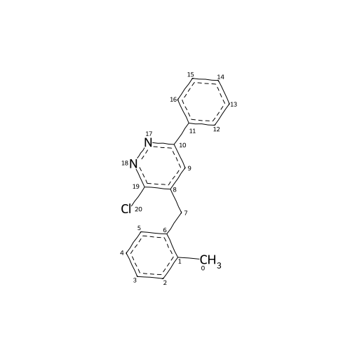 Cc1ccccc1Cc1cc(-c2ccccc2)nnc1Cl